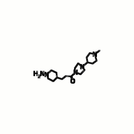 CN1CCC(N2CCN(C(=O)CCC3CCN(N)CC3)CC2)CC1